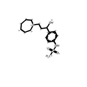 CS(=O)(=O)Nc1ccc(C(O)CCN2CCCCCC2)cc1